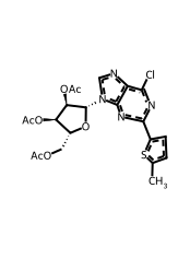 CC(=O)OC[C@H]1O[C@@H](n2cnc3c(Cl)nc(-c4ccc(C)s4)nc32)[C@H](OC(C)=O)[C@@H]1OC(C)=O